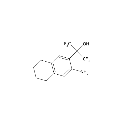 Nc1cc2c(cc1C(O)(C(F)(F)F)C(F)(F)F)CCCC2